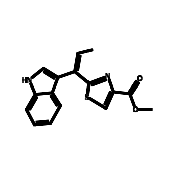 C/C=C(\c1nc(C(=O)OC)cs1)c1c[nH]c2ccccc12